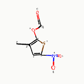 Cc1cc([N+](=O)[O-])sc1OC=O